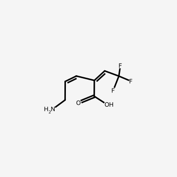 NC/C=C\C(=CC(F)(F)F)C(=O)O